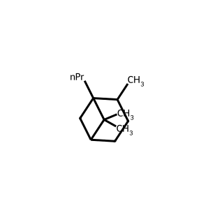 CCCC12CC(CCC1C)C2(C)C